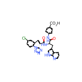 O=C(C=Cc1cc(Cl)ccc1-n1cnnn1)NC(Cc1c[nH]c2ncccc12)C(=O)Nc1ccc(C(=O)O)cc1